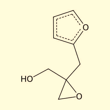 OCC1(Cc2ccco2)CO1